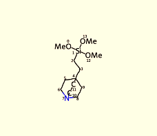 CO[Si](CCC12CCN(CC1)CC2)(OC)OC